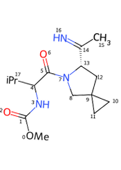 COC(=O)NC(C(=O)N1CC2(CC2)C[C@H]1C(C)=N)C(C)C